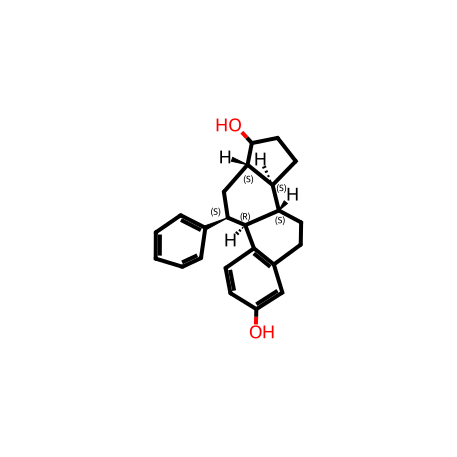 Oc1ccc2c(c1)CC[C@H]1[C@@H]3CCC(O)[C@H]3C[C@H](c3ccccc3)[C@H]21